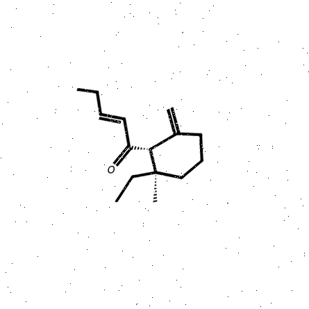 C=C1CCC[C@@](C)(CC)[C@@H]1C(=O)/C=C/CC